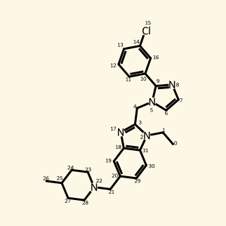 CCn1c(Cn2ccnc2-c2cccc(Cl)c2)nc2cc(CN3CCC(C)CC3)ccc21